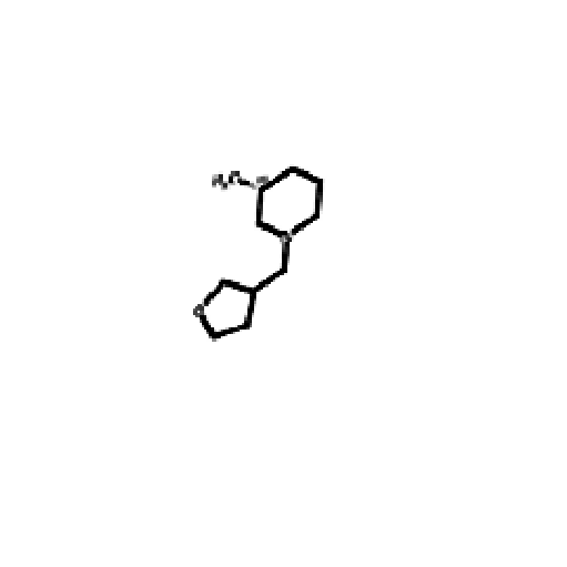 C[C@@H]1CCCN(CC2CCOC2)C1